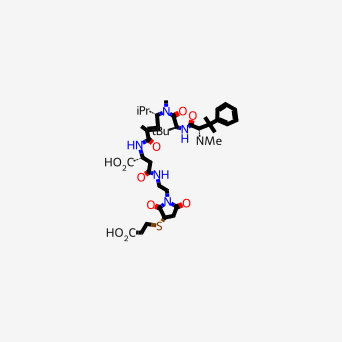 CN[C@H](C(=O)N[C@H](C(=O)N(C)[C@H](/C=C(\C)C(=O)N[C@H](CC(=O)NCCN1C(=O)CC(SCCC(=O)O)C1=O)C(=O)O)C(C)C)C(C)(C)C)C(C)(C)c1ccccc1